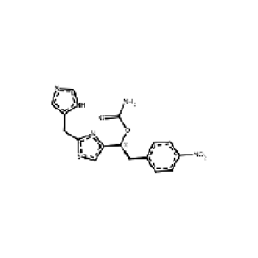 NC(=O)O[C@@H](Cc1ccc([N+](=O)[O-])cc1)c1csc(Cc2cnc[nH]2)n1